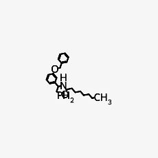 CCCCCCCC(=O)NC(CP)c1cccc(OCc2ccccc2)c1